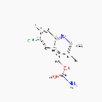 CCc1nc2cc(C)c(Cl)cc2c(COC(N)=O)c1C